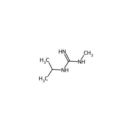 CNC(=N)NC(C)C